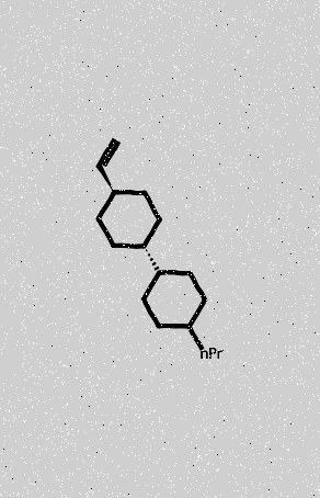 C=C[C@H]1CC[C@H](C2CCC(CCC)CC2)CC1